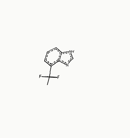 CC(F)(F)c1cccc2[nH]cnc12